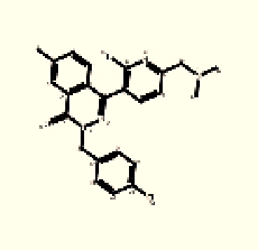 Cc1ccc2c(-c3ccc(CN(C)C)nc3F)nn(Cc3ccc(Cl)cc3)c(=O)c2c1